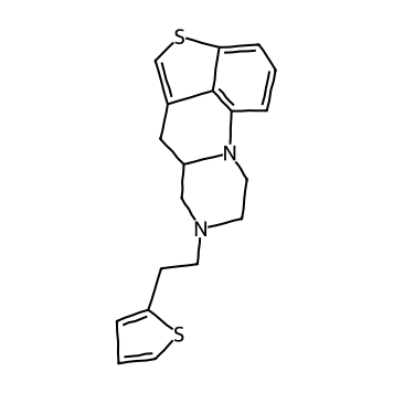 c1csc(CCN2CCN3c4cccc5scc(c45)CC3C2)c1